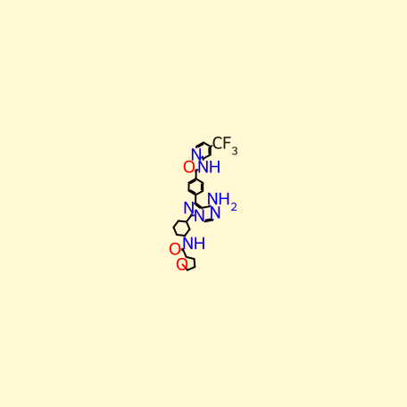 Nc1nccn2c(C3CCCC(NC(=O)C4CCCO4)C3)nc(-c3ccc(C(=O)Nc4cc(C(F)(F)F)ccn4)cc3)c12